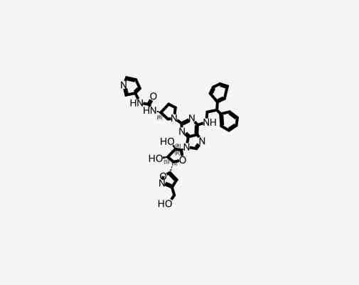 O=C(Nc1cccnc1)N[C@@H]1CCN(c2nc(NCC(c3ccccc3)c3ccccc3)c3ncn([C@@H]4O[C@H](c5cc(CO)no5)[C@@H](O)[C@H]4O)c3n2)C1